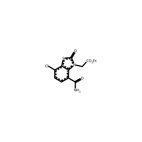 CCOC(=O)Cn1c(=O)sc2c(Cl)ccc(C(N)=O)c21